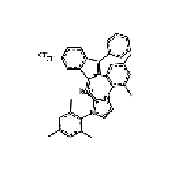 Cc1cc(C)c(-n2ccn(-c3c(C)cc(C)cc3C)[c]2=[Ru+2]=[C]2C=C(c3ccccc3)c3ccccc32)c(C)c1.[Cl-].[Cl-]